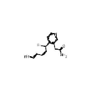 CCC/C=C/C=C\C(CC)c1ccncc1CC(N)=O